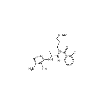 CC(=O)NCCCn1c(C(C)Nc2ncnc(N)c2C#N)nc2cccc(Cl)c2c1=O